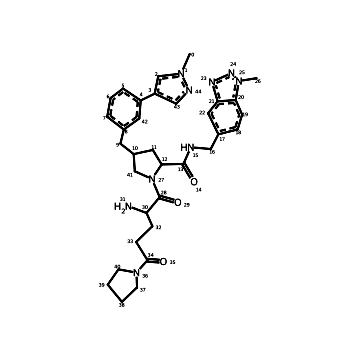 Cn1cc(-c2cccc(CC3CC(C(=O)NCc4ccc5c(c4)nnn5C)N(C(=O)C(N)CCC(=O)N4CCCC4)C3)c2)cn1